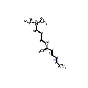 C/C=C/C=C/C(=O)OCCCN(C)C